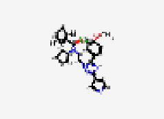 COc1ccc(-c2nc(-c3ccncc3)nn2CCN(C(=O)C2C[C@@H]3CC[C@H]2C3)C2CCCC2)cc1Cl